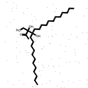 CCCCCCCCCCCCC(O)(CCCCCCCCCCCC)C(O)(CO)C(C)=O